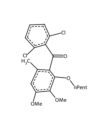 CCCCCOc1c(OC)c(OC)cc(C)c1C(=O)c1c(Cl)cccc1Cl